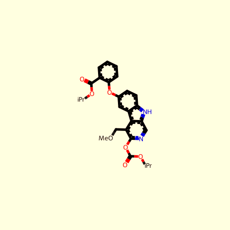 COCc1c(OC(=O)OC(C)C)ncc2[nH]c3ccc(Oc4ccccc4C(=O)OC(C)C)cc3c12